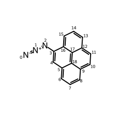 [N-]=[N+]=Nc1cc2cccc3ccc4cccc1c4c32